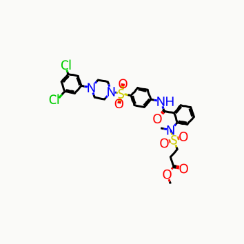 COC(=O)CCS(=O)(=O)N(C)c1ccccc1C(=O)Nc1ccc(S(=O)(=O)N2CCN(c3cc(Cl)cc(Cl)c3)CC2)cc1